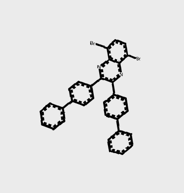 Brc1ccc(Br)c2nc(-c3ccc(-c4ccccc4)cc3)c(-c3ccc(-c4ccccc4)cc3)nc12